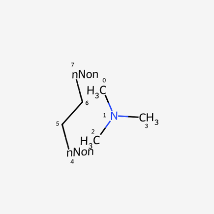 CN(C)C.[CH2]CCCCCCCCCCCCCCCCCCC